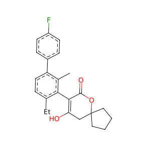 CCc1ccc(-c2ccc(F)cc2)c(C)c1C1=C(O)CC2(CCCC2)OC1=O